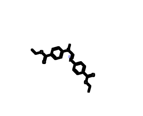 CCOC(=O)c1ccc(/N=C/N(C)c2ccc(C(=O)OCC)cc2)cc1